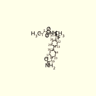 CCCS(=O)(=O)NCC(C)(F)c1ccc(-c2ccc(CC(N)=O)cc2)cc1